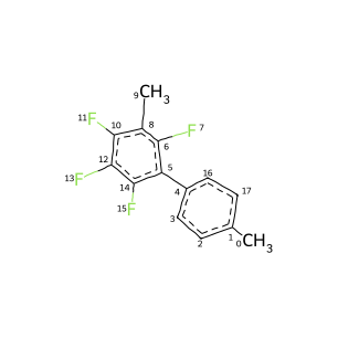 Cc1ccc(-c2c(F)c(C)c(F)c(F)c2F)cc1